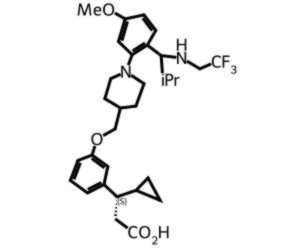 COc1ccc(C(NCC(F)(F)F)C(C)C)c(N2CCC(COc3cccc([C@@H](CC(=O)O)C4CC4)c3)CC2)c1